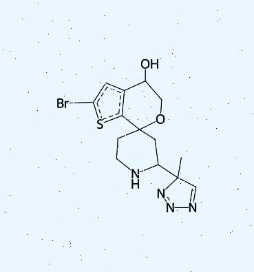 CC1(C2CC3(CCN2)OCC(O)c2cc(Br)sc23)C=NN=N1